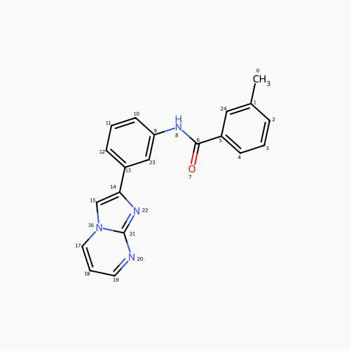 Cc1cccc(C(=O)Nc2cccc(-c3cn4cccnc4n3)c2)c1